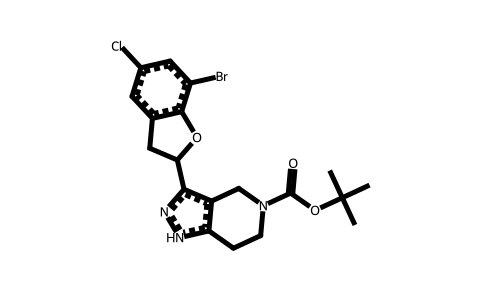 CC(C)(C)OC(=O)N1CCc2[nH]nc(C3Cc4cc(Cl)cc(Br)c4O3)c2C1